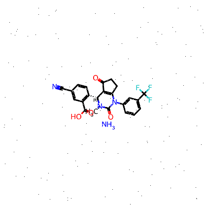 CN1C(=O)N(c2cccc(C(F)(F)F)c2)C2=C(C(=O)CC2)[C@H]1c1ccc(C#N)cc1C(=O)O.N